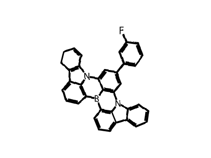 Fc1cccc(-c2cc3c4c(c2)-n2c5ccccc5c5cccc(c52)B4c2cccc4c5c(n-3c24)C=CCC5)c1